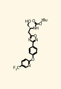 CC(C)(C)OC(=O)N[C@H](CO)Cc1nc(-c2ccc(Oc3ccc(C(F)(F)F)cn3)cc2)no1